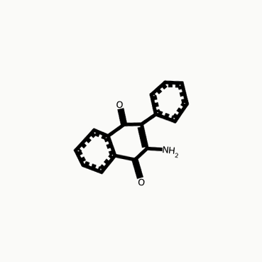 NC1=C(c2ccccc2)C(=O)c2ccccc2C1=O